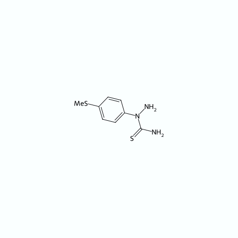 CSc1ccc(N(N)C(N)=S)cc1